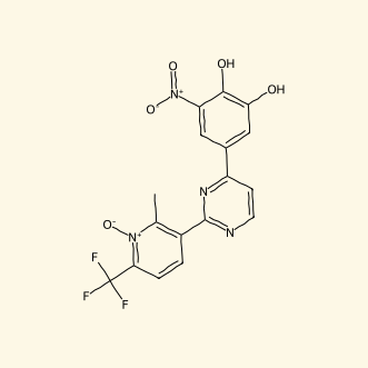 Cc1c(-c2nccc(-c3cc(O)c(O)c([N+](=O)[O-])c3)n2)ccc(C(F)(F)F)[n+]1[O-]